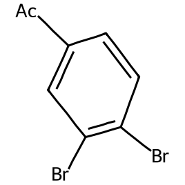 [CH2]C(=O)c1ccc(Br)c(Br)c1